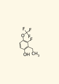 CCc1c(O)ccc(OC(F)(F)F)c1F